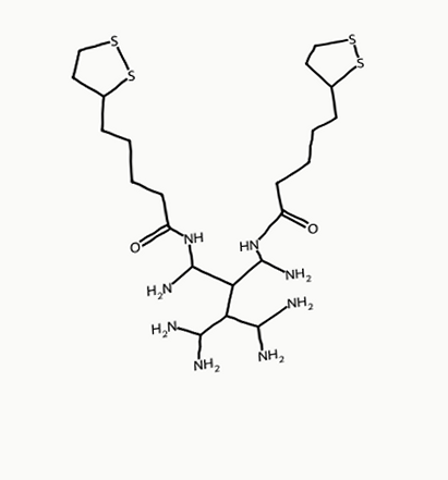 NC(N)C(C(N)N)C(C(N)NC(=O)CCCCC1CCSS1)C(N)NC(=O)CCCCC1CCSS1